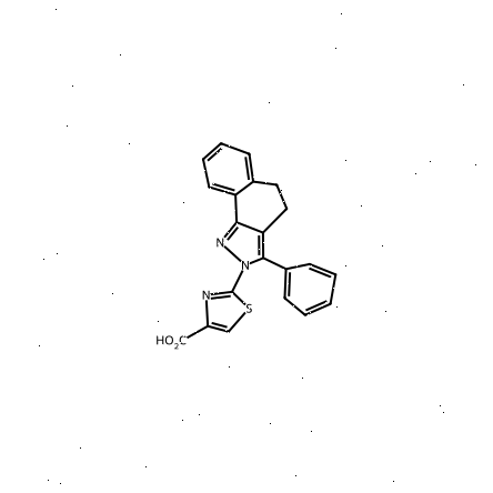 O=C(O)c1csc(-n2nc3c(c2-c2ccccc2)CCc2ccccc2-3)n1